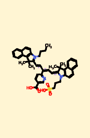 CCCC[N+]1=C(/C=C/C(=C/C=C2/N(CCCS(=O)(=O)O)c3ccc4ccccc4c3C2(C)C)c2ccc(C(=O)O)cn2)C(C)(C)c2c1ccc1ccccc21